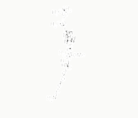 C=C1CO[C@@H](CC[C@@H]2O[C@@H](CC[C@@]34C[C@H]5OC6C(O[C@H]7CC[C@H](CC(=O)C[C@@H]8[C@@H](OC)[C@@H](C[C@H](O)CNC(=O)CCOCCOCCOCCOCCN)O[C@H]8C)O[C@@H]7[C@@H]6O3)[C@H]5O4)CC2=C)C[C@H]1C